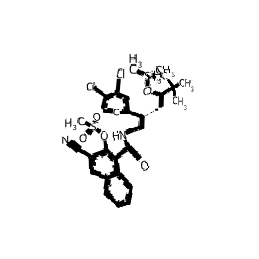 C[SiH](C)OC(C[C@H](CNC(=O)c1c(OS(C)(=O)=O)c(C#N)cc2ccccc12)c1ccc(Cl)c(Cl)c1)C(C)(C)C